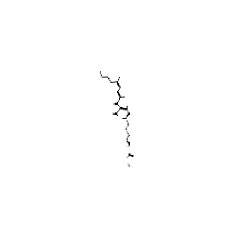 CCCC/C(C)=C\C=C(/C)C(=O)c1c(O)cc(CCC/C=C/NC(=O)OC)oc1=O